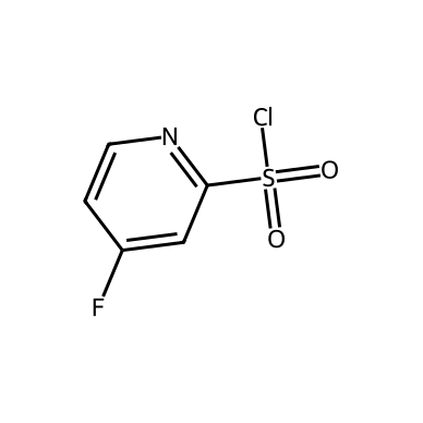 O=S(=O)(Cl)c1cc(F)ccn1